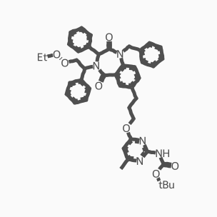 CCOOCC(c1ccccc1)N1C(=O)c2cc(CCCOc3cc(C)nc(NC(=O)OC(C)(C)C)n3)ccc2N(Cc2ccccc2)C(=O)C1c1ccccc1